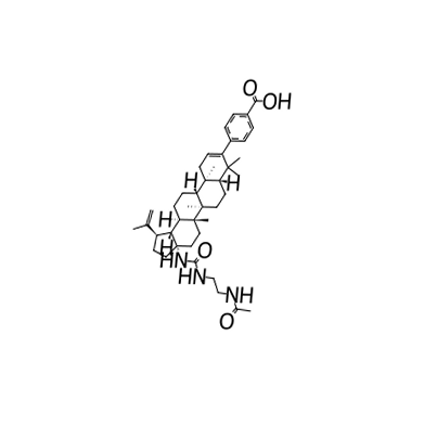 C=C(C)[C@@H]1CC[C@]2(NC(=O)NCCNC(C)=O)CC[C@]3(C)[C@H](CC[C@@H]4[C@@]5(C)CC=C(c6ccc(C(=O)O)cc6)C(C)(C)[C@@H]5CC[C@]43C)[C@@H]12